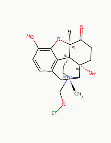 C[N@@+]1(COCl)CC[C@]23c4c5ccc(O)c4O[C@H]2C(=O)CC[C@@]3(O)C1C5